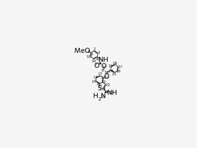 COc1ccc(NC(=O)OC[C@@H](Oc2cccc3sc(C(=N)N)cc23)c2ccccc2)cc1